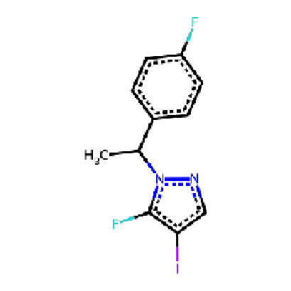 CC(c1ccc(F)cc1)n1ncc(I)c1F